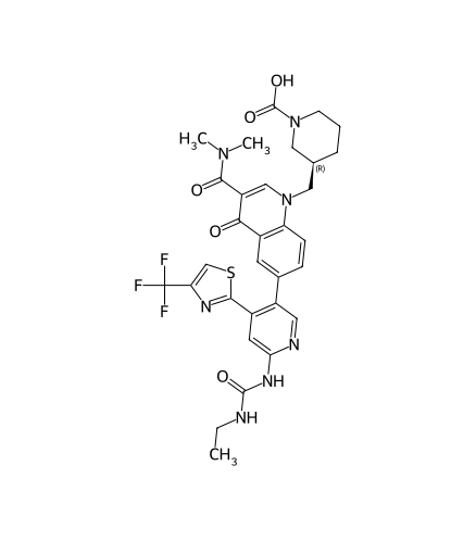 CCNC(=O)Nc1cc(-c2nc(C(F)(F)F)cs2)c(-c2ccc3c(c2)c(=O)c(C(=O)N(C)C)cn3C[C@@H]2CCCN(C(=O)O)C2)cn1